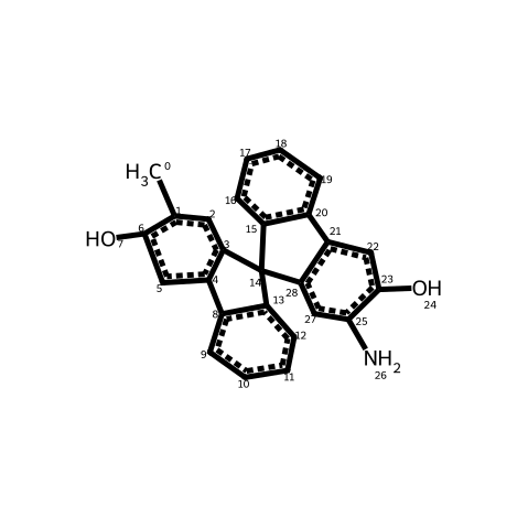 Cc1cc2c(cc1O)-c1ccccc1C21c2ccccc2-c2cc(O)c(N)cc21